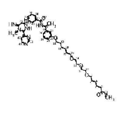 COC(=O)CCCCCOCCOCCOCCCCCCOc1cccc([C@H](C)NC(=O)c2cccc(NCC(=N)N(C)C(=N)c3ccncn3)c2)c1